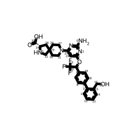 Nc1nc(OC(c2ccc(-c3ccccc3CO)cc2)C(F)(F)F)cc(N2CCC3(CC2)CN[C@H](C(=O)O)C3)n1